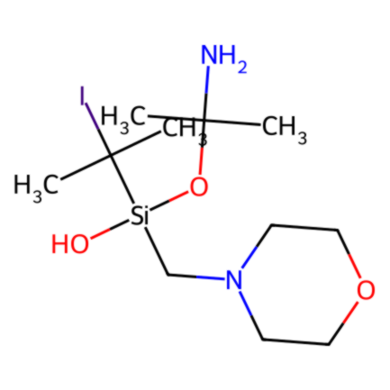 CC(C)(N)O[Si](O)(CN1CCOCC1)C(C)(C)I